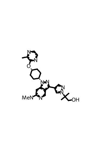 CNc1cc2c(cn1)c(-c1cnn(C(C)(C)CO)c1)nn2[C@H]1CC[C@@H](Oc2nccnc2C)CC1